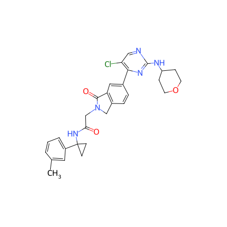 Cc1cccc(C2(NC(=O)CN3Cc4ccc(-c5nc(NC6CCOCC6)ncc5Cl)cc4C3=O)CC2)c1